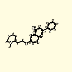 CN1CCCCC1CCOc1ccc2oc(-c3ccccc3)cc(=O)c2c1